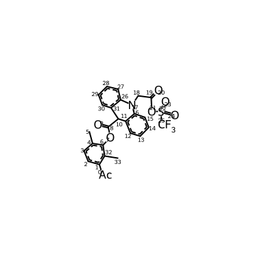 CC(=O)c1ccc(C)c(OC(=O)C2c3ccccc3N(CC(=O)OS(=O)(=O)C(F)(F)F)c3ccccc32)c1C